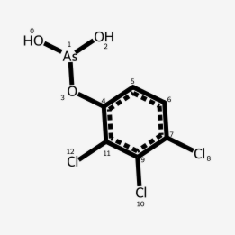 O[As](O)Oc1ccc(Cl)c(Cl)c1Cl